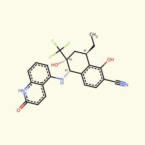 CC[C@@H]1C[C@](O)(C(F)(F)F)[C@@H](Nc2cccc3[nH]c(=O)ccc23)c2ccc(C#N)c(O)c21